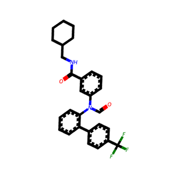 O=CN(c1cccc(C(=O)NCC2CCCCC2)c1)c1ccccc1-c1ccc(C(F)(F)F)cc1